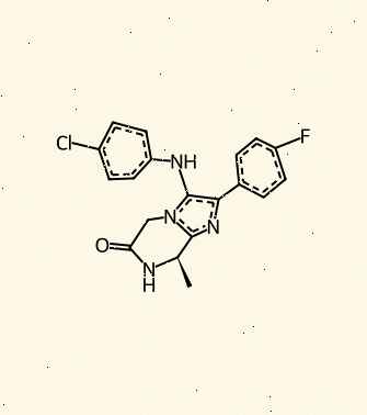 C[C@H]1NC(=O)Cn2c1nc(-c1ccc(F)cc1)c2Nc1ccc(Cl)cc1